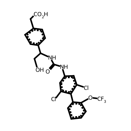 O=C(O)Cc1ccc(C(CO)NC(=O)Nc2cc(Cl)c(-c3ccccc3OC(F)(F)F)c(Cl)c2)cc1